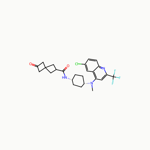 CN(c1cc(C(F)(F)F)nc2ccc(Cl)cc12)[C@H]1CC[C@@H](NC(=O)C2CC3(CC(=O)C3)C2)CC1